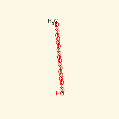 CCCOCCOCCOCCOCCOCCOCCOCCOCCOCCOCCOCCOCCOCCOCCOCCOCCOCCOCCOCCO